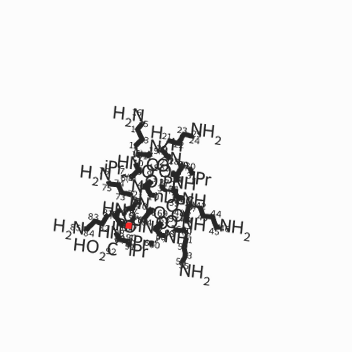 CCCCCCCCCCCC(=O)N[C@H](CC(C)C)C(=O)N[C@@H](CCCCN)C(=O)N[C@@H](CCCCN)C(=O)N[C@H](CC(C)C)C(=O)N[C@H](CC(C)C)C(=O)N[C@@H](CCCCN)C(=O)N[C@@H](CCCCN)C(=O)N[C@H](CC(C)C)C(=O)N[C@H](CC(C)C)C(=O)N[C@@H](CCCCN)C(=O)N[C@@H](CCCCN)C(=O)N[C@H](CC(C)C)C(=O)O